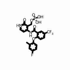 Cc1cc(F)ccc1Oc1ccc(C(F)(F)F)cc1C(=O)Nc1cc[nH]c(=O)c1COP(=O)(O)O